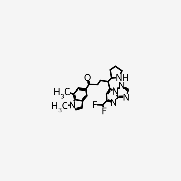 Cc1cc(C(=O)CCC(c2cc(C(F)F)nc3ncnn23)C2CCCN2)cc2ccn(C)c12